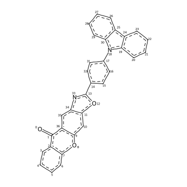 O=c1c2ccccc2oc2cc3oc(-c4ccc(-n5c6ccccc6c6ccccc65)cc4)nc3cc12